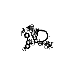 COc1ccc2c(O[C@@H]3C[C@H]4C(=O)N[C@]5(C(=O)NS(=O)(=O)C6(C)CC6)CC5/C=C\CC[C@H](C)C[C@@H](C)[C@H](NC(=O)O[C@H](C)C(F)(F)F)C(=O)N4C3)nc(-c3ccc(OC(C)C)c(F)c3)cc2c1